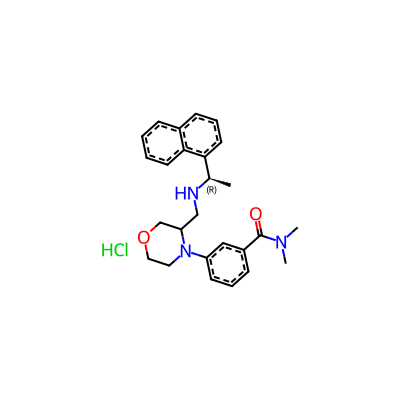 C[C@@H](NCC1COCCN1c1cccc(C(=O)N(C)C)c1)c1cccc2ccccc12.Cl